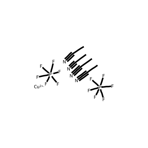 CC#N.CC#N.CC#N.CC#N.F[P-](F)(F)(F)(F)F.F[P-](F)(F)(F)(F)F.[Cu+2]